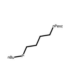 CCCCCCCCC[P]CCCC